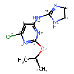 CC(C)Oc1nc(Cl)cc(NC2=NCCN2)n1